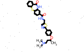 CC(CCN(C)C)Oc1ccc(-c2ncc(CNC(=O)c3ccc4c(c3)NC(=O)c3ccccc3S4)s2)cc1